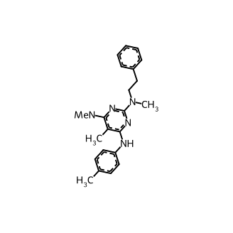 CNc1nc(N(C)CCc2ccccc2)nc(Nc2ccc(C)cc2)c1C